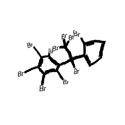 Brc1ccccc1C(Br)(c1c(Br)c(Br)c(Br)c(Br)c1Br)C(Br)(Br)Br